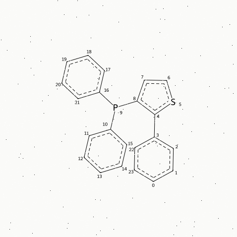 c1ccc(-c2sccc2P(c2ccccc2)c2ccccc2)cc1